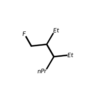 CCCC(CC)C(CC)CF